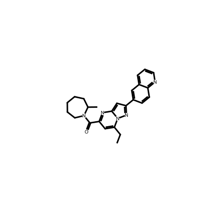 CCc1cc(C(=O)N2CCCCCC2C)nc2cc(-c3ccc4ncccc4c3)nn12